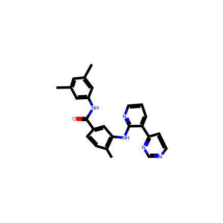 Cc1cc(C)cc(NC(=O)c2ccc(C)c(Nc3ncccc3-c3ccncn3)c2)c1